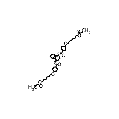 C=CC(=O)OCCCCCCOc1ccc(C(=O)Oc2ccc(OC(=O)c3ccc(OCCCCCCOC(=O)C=C)cc3)c3c2C2CCC3C2)cc1